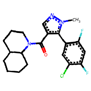 Cn1ncc(C(=O)N2CCCC3CCCCC32)c1-c1cc(Cl)c(F)cc1F